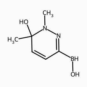 CN1N=C(BO)C=CC1(C)O